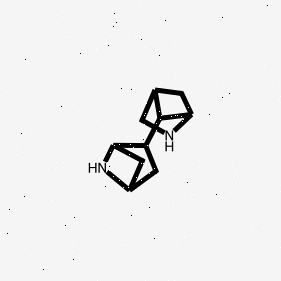 C1NC2CC1C2C1CC2CC1N2